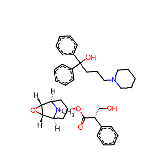 CN1[C@@H]2C[C@@H](OC(=O)[C@H](CO)c3ccccc3)C[C@H]1[C@@H]1O[C@@H]12.OC(CCCN1CCCCC1)(c1ccccc1)c1ccccc1